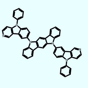 c1ccc(-n2c3ccncc3c3cc(-n4c5ccccc5c5cc6c(cc54)c4ccccc4n6-c4ccc5c(c4)c4cnccc4n5-c4ccccc4)ccc32)cc1